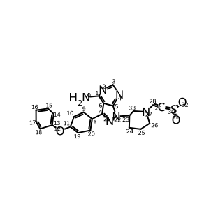 Nc1ncnc2c1c(-c1ccc(Oc3ccccc3)cc1)nn2C1CCCN(C=C=S(=O)=O)C1